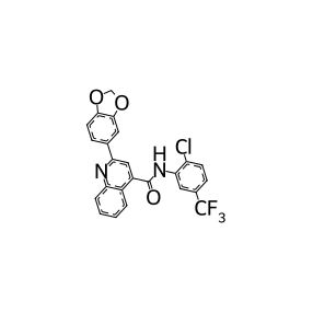 O=C(Nc1cc(C(F)(F)F)ccc1Cl)c1cc(-c2ccc3c(c2)OCO3)nc2ccccc12